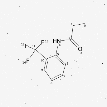 CCC(=O)Nc1ccccc1C(F)(F)F